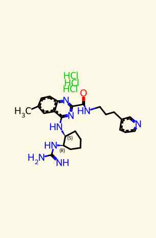 Cc1ccc2nc(C(=O)NCCCc3cccnc3)nc(N[C@H]3CCCC[C@H]3NC(=N)N)c2c1.Cl.Cl.Cl